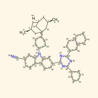 C[C@@H]1C[C@@H]2C[C@H](C)CC(c3ccc(-n4c5cc(C#N)ccc5c5ccc(-c6nc(-c7ccccc7)nc(-c7ccc8ccccc8c7)n6)cc54)cc3)(C1)C2